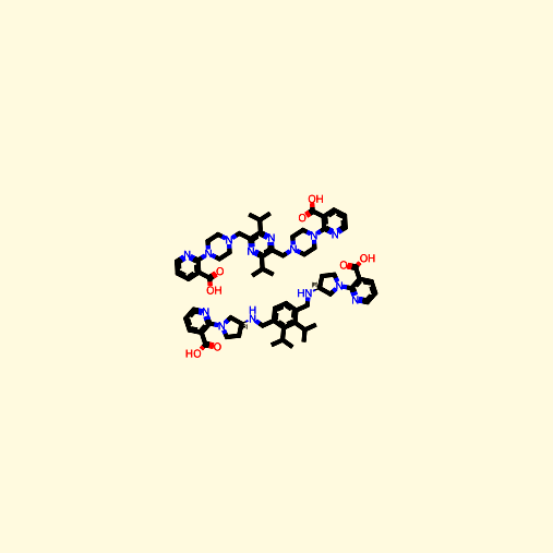 CC(C)c1c(CN[C@@H]2CCN(c3ncccc3C(=O)O)C2)ccc(CN[C@@H]2CCN(c3ncccc3C(=O)O)C2)c1C(C)C.CC(C)c1nc(CN2CCN(c3ncccc3C(=O)O)CC2)c(C(C)C)nc1CN1CCN(c2ncccc2C(=O)O)CC1